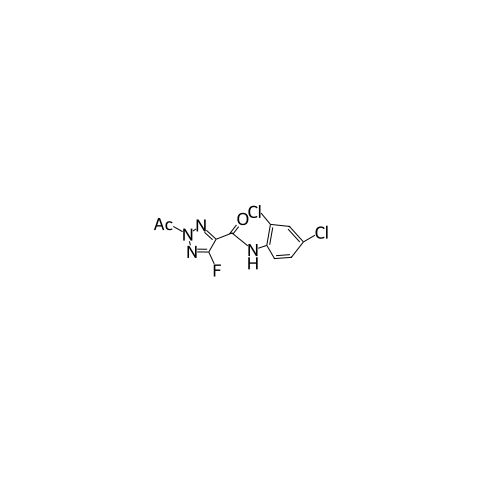 CC(=O)n1nc(F)c(C(=O)Nc2ccc(Cl)cc2Cl)n1